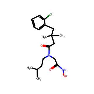 CC(C)CCN(CC(=O)NO)C(=O)CC(C)(C)Cc1ccccc1Cl